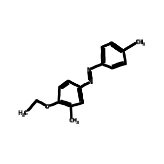 CCOc1ccc(/N=N/c2ccc(C)cc2)cc1C